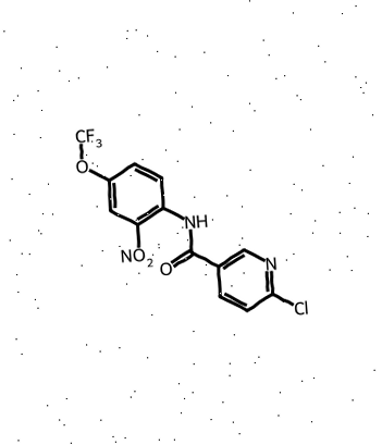 O=C(Nc1ccc(OC(F)(F)F)cc1[N+](=O)[O-])c1ccc(Cl)nc1